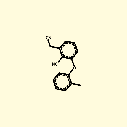 Cc1ccccc1Oc1cccc(CC#N)c1C#N